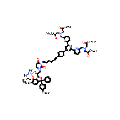 COC(=O)CN(CC(=O)OC)Cc1cccc(-c2cc(-c3ccc(C#CCCCCn4c(=O)ccn(CC(COC(c5ccccc5)(c5ccc(OC)cc5)c5ccc(OC)cc5)OP(OCCC#N)N(C(C)C)C(C)C)c4=O)cc3)cc(-c3cccc(CN(CC(=O)OC)CC(=O)OC)n3)n2)n1